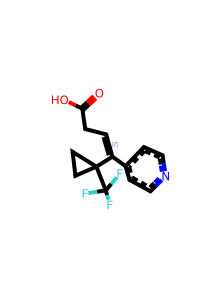 O=C(O)C/C=C(/c1ccncc1)C1(C(F)(F)F)CC1